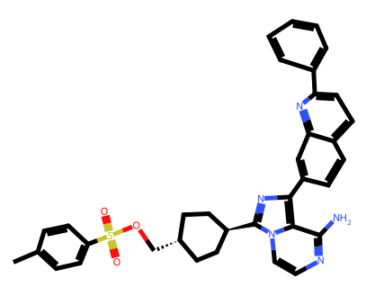 Cc1ccc(S(=O)(=O)OC[C@H]2CC[C@H](c3nc(-c4ccc5ccc(-c6ccccc6)nc5c4)c4c(N)nccn43)CC2)cc1